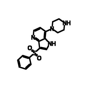 O=S(=O)(c1ccccc1)c1c[nH]c2c(N3CCNCC3)ccnc12